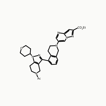 CCOC(=O)c1cc2ncc(N3CCc4c(cccc4-c4nn(C5CCOCC5)c5c4CN(C(C)=O)CC5)C3)cn2n1